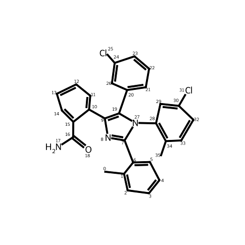 Cc1ccccc1-c1nc(-c2ccccc2C(N)=O)c(-c2cccc(Cl)c2)n1-c1cc(Cl)ccc1C